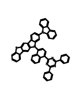 c1ccc(-c2nc(-c3ccccc3)nc(-c3ccc(-n4c5cc(-n6c7ccccc7c7ccccc76)ccc5c5cc6sc7ccccc7c6cc54)c4ccccc34)n2)cc1